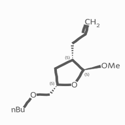 C=CC[C@H]1C[C@@H](COCCCC)O[C@@H]1OC